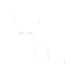 C#CCC(c1ccc(C#N)s1)C(C)C